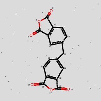 O=C1OC(=O)c2cc(Cc3ccc4c(c3)C(=O)OC4=O)ccc21